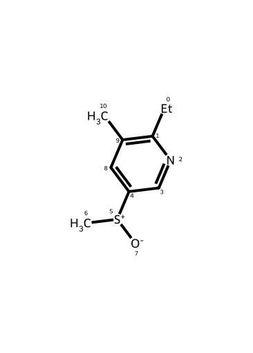 CCc1ncc([S+](C)[O-])cc1C